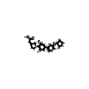 O=C(O)CC1CCN(c2c(F)cc(-c3cncc(OC4CCCC4)n3)cc2F)C1